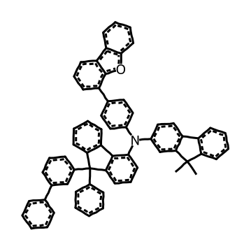 CC1(C)c2ccccc2-c2ccc(N(c3ccc(-c4cccc5c4oc4ccccc45)cc3)c3cccc4c3-c3ccccc3C4(c3ccccc3)c3cccc(-c4ccccc4)c3)cc21